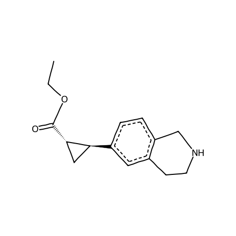 CCOC(=O)[C@H]1C[C@@H]1c1ccc2c(c1)CCNC2